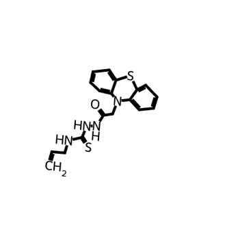 C=CCNC(=S)NNC(=O)CN1c2ccccc2Sc2ccccc21